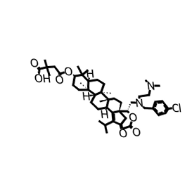 CC(=O)O[C@@H](CN(CCN(C)C)Cc1ccc(Cl)cc1)[C@@]12CC[C@]3(C)[C@H](CC[C@@H]4[C@@]5(C)CC[C@H](OC(=O)CC(C)(C)C(=O)O)C(C)(C)[C@@H]5CC[C@]43C)C1=C(C(C)C)C(=O)C2